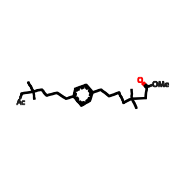 COC(=O)CC(C)(C)CCCCc1ccc(CCCCC(C)(C)CC(C)=O)cc1